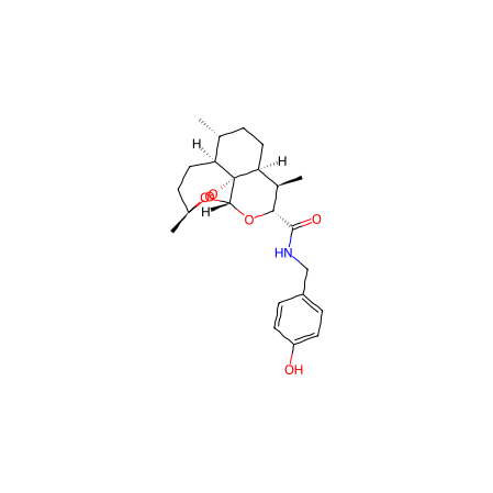 C[C@H]1[C@H](C(=O)NCc2ccc(O)cc2)O[C@@H]2O[C@@]3(C)CC[C@H]4[C@H](C)CC[C@@H]1[C@@]24OO3